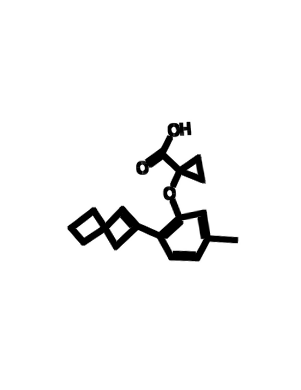 Cc1ccc(C2=CC3(CCC3)C2)c(OC2(C(=O)O)CC2)c1